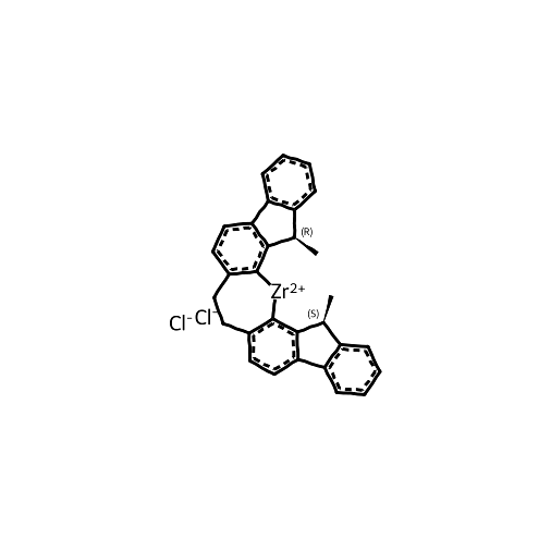 C[C@@H]1c2ccccc2-c2ccc3[c](c21)[Zr+2][c]1c(ccc2c1[C@@H](C)c1ccccc1-2)CC3.[Cl-].[Cl-]